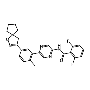 Cc1ccc(C2=NOC3(CCCC3)C2)cc1-c1cnc(NC(=O)c2c(F)cccc2F)cn1